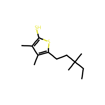 CCC(C)(C)CCc1sc(S)c(C)c1C